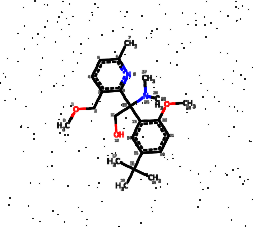 COCc1ccc(C)nc1C(CO)(c1cc(C(C)(C)C)ccc1OC)N(C)C